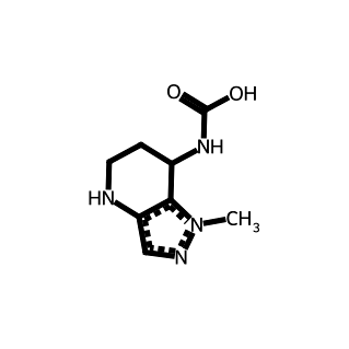 Cn1ncc2c1C(NC(=O)O)CCN2